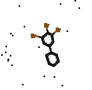 Brc1cc(-c2ccccc2)cc(Br)c1Br